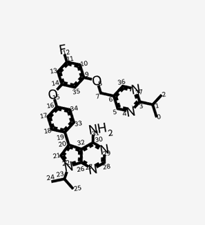 CC(C)c1ncc(COc2cc(F)cc(Oc3ccc(-c4cn(C(C)C)c5ncnc(N)c45)cc3)c2)cn1